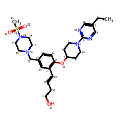 CCc1cnc(N2CCC(Oc3ccc(CN4CCN(S(C)(=O)=O)CC4)cc3/C=C/CCO)CC2)nc1